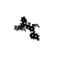 CSc1cc(Oc2cccc3c2CCC(=O)N3)ccc1NC(=O)Nc1cc(C(C)(C)C)nn1-c1ccccc1